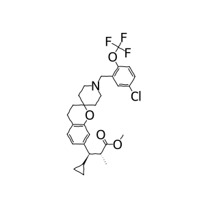 COC(=O)[C@H](C)[C@H](c1ccc2c(c1)OC1(CC2)CCN(Cc2cc(Cl)ccc2OC(F)(F)F)CC1)C1CC1